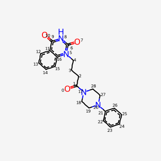 O=C(CCCn1c(=O)[nH]c(=O)c2ccccc21)N1CCN(c2ccccc2)CC1